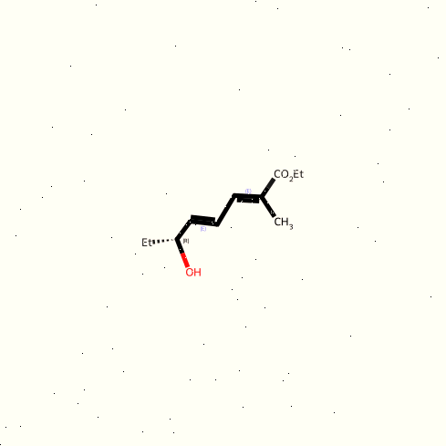 CCOC(=O)/C(C)=C/C=C/[C@H](O)CC